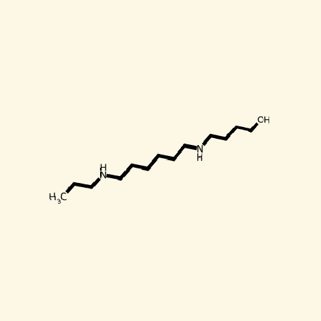 CCCNCCCCCCNCCCCO